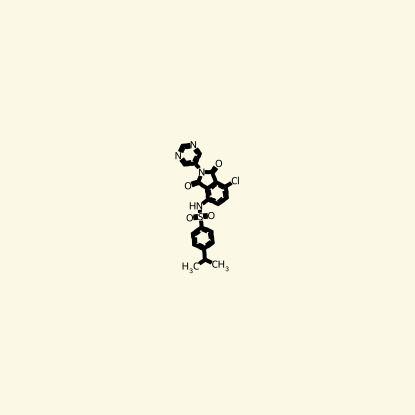 CC(C)c1ccc(S(=O)(=O)Nc2ccc(Cl)c3c2C(=O)N(c2cncnc2)C3=O)cc1